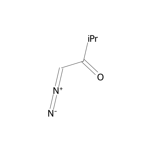 CC(C)C(=O)C=[N+]=[N-]